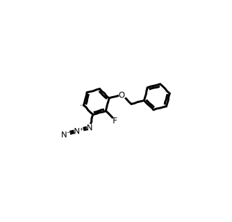 [N-]=[N+]=Nc1[c]ccc(OCc2ccccc2)c1F